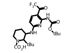 CC(C)(C)OC(=O)Nc1nc(NC2CCCN(C(=O)O)C2C(C)(C)C)ccc1C(=O)C(F)(F)F